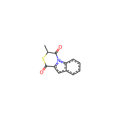 CC1SC(=O)c2cc3ccccc3n2C1=O